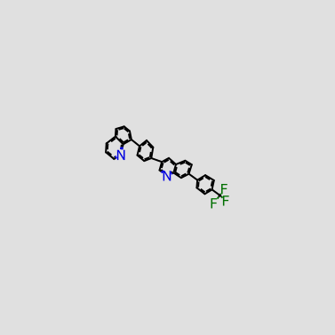 FC(F)(F)c1ccc(-c2ccc3cc(-c4ccc(-c5cccc6cccnc56)cc4)cnc3c2)cc1